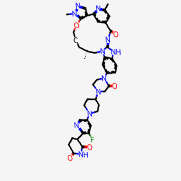 Cc1cc2cc(n1)-c1cnn(C)c1OCCC[C@@H](C)CN1/C(=N/C2=O)Nc2ccc(N3CCN(C4CCN(c5cnc(C6CCC(=O)NC6=O)c(F)c5)CC4)CC3=O)cc21